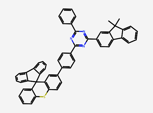 CC1(C)c2ccccc2-c2ccc(-c3nc(-c4ccccc4)nc(-c4ccc(-c5ccc6c(c5)C5(c7ccccc7S6)c6ccccc6-c6ccccc65)cc4)n3)cc21